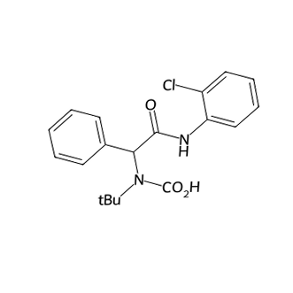 CC(C)(C)N(C(=O)O)C(C(=O)Nc1ccccc1Cl)c1ccccc1